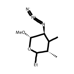 CCC1O[C@H](OC)[C@@H](N=[N+]=[N-])C(C)[C@@H]1C